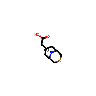 CN1C2CSCC1CC(CC(=O)O)C2